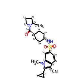 Cn1c(C2CC2)c(C#N)c2ccc(S(=O)(=O)N[C@H]3CC[C@H](C(=O)N4CCCC4C(C)(C)C)CC3)cc21